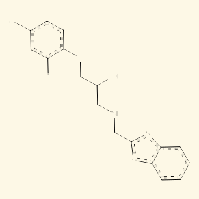 OC(CNCc1nc2ccccc2[nH]1)COc1ccc(Cl)cc1Cl